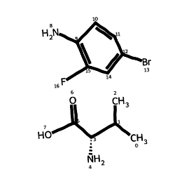 CC(C)[C@H](N)C(=O)O.Nc1ccc(Br)cc1F